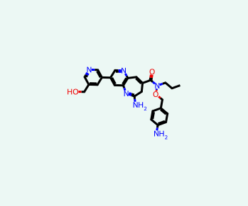 CCCN(OCc1ccc(N)cc1)C(=O)C1=Cc2ncc(-c3cncc(CO)c3)cc2N=C(N)C1